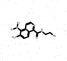 CCN(CC)c1c(C)ccc2c(C(=O)NCCC(C)=O)nccc12